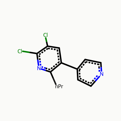 CCCc1nc(Cl)c(Cl)cc1-c1ccncc1